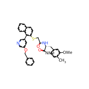 CNC(=O)[C@@H](Cc1ccc(C)c(OC)c1)NC(=O)CSc1ccc2ccccc2c1-c1cncc(OCc2ccccc2)c1